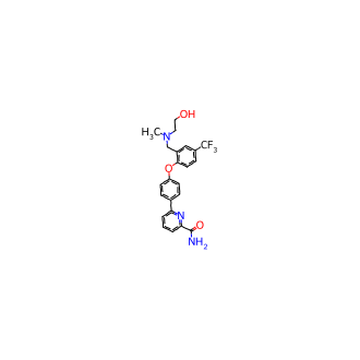 CN(CCO)Cc1cc(C(F)(F)F)ccc1Oc1ccc(-c2cccc(C(N)=O)n2)cc1